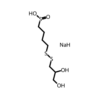 O=S(O)CCCCSSCC(O)CO.[NaH]